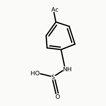 CC(=O)c1ccc(NS(=O)O)cc1